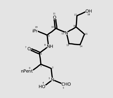 CCCCCC(CN(O)C=O)C(=O)NC(C(=O)N1CCCC1CO)C(C)C